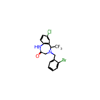 O=C1CN(Cc2ccccc2Br)C(C(F)(F)F)c2cc(Cl)ccc2N1